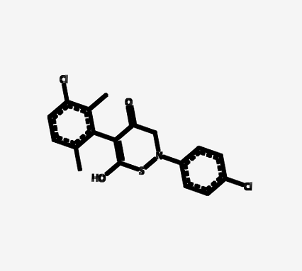 Cc1ccc(Cl)c(C)c1C1=C(O)SN(c2ccc(Cl)cc2)CC1=O